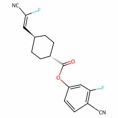 N#CC(F)=C[C@H]1CC[C@H](C(=O)Oc2ccc(C#N)c(F)c2)CC1